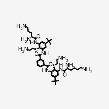 CC(C)(C)c1cc(NC(=O)c2cccc(C(=O)Nc3cc(C(C)(C)C)cc(NC(=O)[C@H](N)CCCCN)c3SCCN)c2)c(SCCN)c(NC(=O)[C@H](N)CCCN)c1